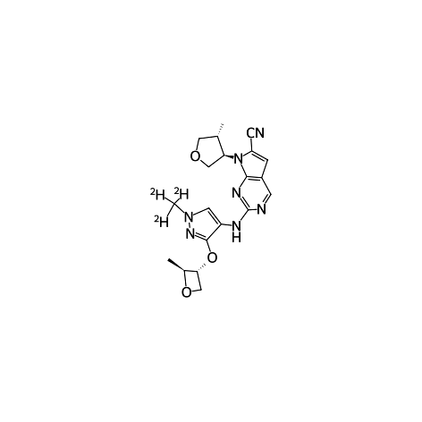 [2H]C([2H])([2H])n1cc(Nc2ncc3cc(C#N)n([C@H]4COC[C@@H]4C)c3n2)c(O[C@@H]2CO[C@H]2C)n1